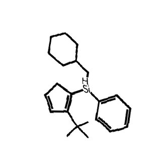 CC(C)(C)C1=C([SiH](CC2CCCCC2)c2ccccc2)CC=C1